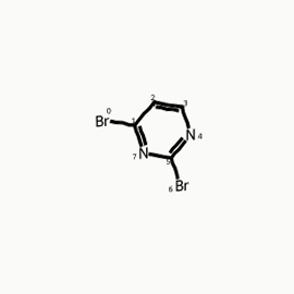 Brc1[c]cnc(Br)n1